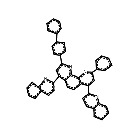 c1ccc(-c2ccc(-c3cc(-c4ccc5ccccc5n4)c4ccc5c(-c6ccc7ccccc7n6)cc(-c6ccccc6)nc5c4n3)cc2)cc1